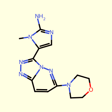 Cn1c(-c2nnc3ccc(N4CCOCC4)nn23)cnc1N